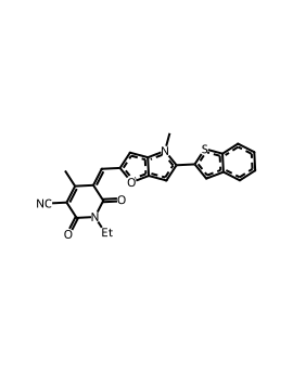 CCN1C(=O)C(C#N)=C(C)/C(=C/c2cc3c(cc(-c4cc5ccccc5s4)n3C)o2)C1=O